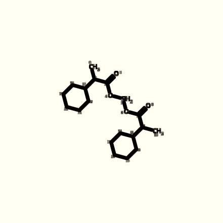 CC(C(=O)O[SiH2]OC(=O)C(C)C1CCCCC1)C1CCCCC1